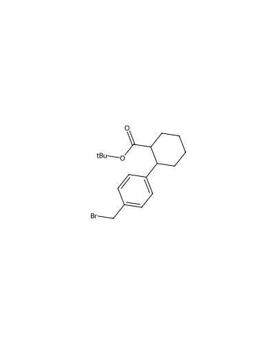 CC(C)(C)OC(=O)C1CCCCC1c1ccc(CBr)cc1